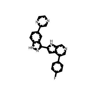 Fc1ccc(-c2cncc3[nH]c(-c4n[nH]c5ccc(-c6cnccn6)cc45)cc23)cc1